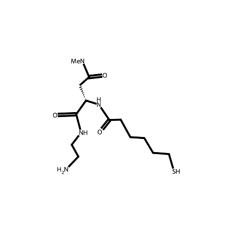 CNC(=O)C[C@H](NC(=O)CCCCCS)C(=O)NCCN